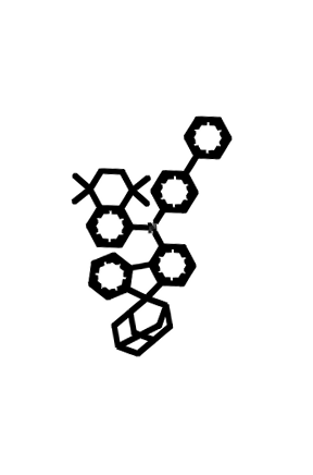 CC1(C)CCC(C)(C)c2c(N(c3ccc(-c4ccccc4)cc3)c3cccc4c3-c3ccccc3C43C4CC5CC(C4)CC3C5)cccc21